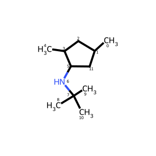 CC1CC(C)C(NC(C)(C)C)C1